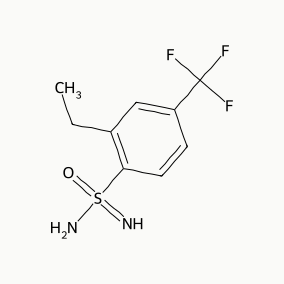 CCc1cc(C(F)(F)F)ccc1S(=N)(N)=O